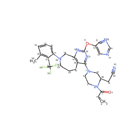 C=CC(=O)N1CCN(c2nc(Oc3cncnc3)nc3c2CCCN(c2cccc(C)c2C(F)(F)F)C3)CC1CC#N